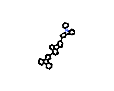 c1ccc(-n2c3ccccc3c3cc(-c4ccc5c(c4)-c4cccc6c(-c7ccc8c9ccccc9c9ccccc9c8c7)ccc-5c46)ccc32)cc1